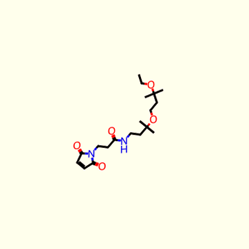 CCOC(C)(C)CCOC(C)(C)CCNC(=O)CCN1C(=O)C=CC1=O